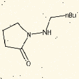 CCCCCNN1CCCC1=O